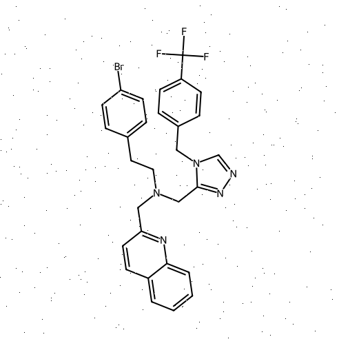 FC(F)(F)c1ccc(Cn2cnnc2CN(CCc2ccc(Br)cc2)Cc2ccc3ccccc3n2)cc1